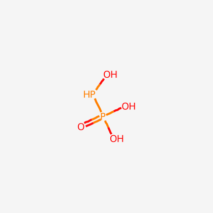 O=P(O)(O)PO